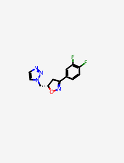 Fc1ccc(C2=NO[C@H](Cn3ccnn3)C2)cc1F